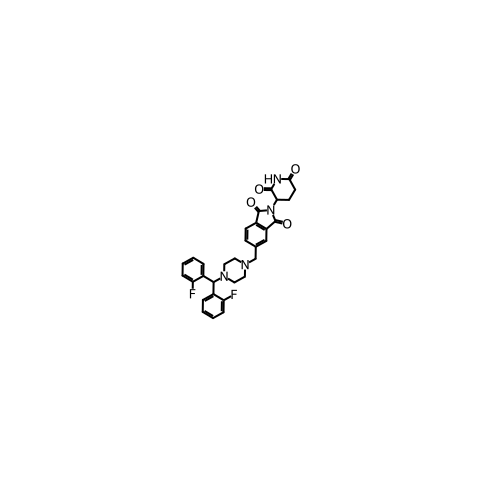 O=C1CCC(N2C(=O)c3ccc(CN4CCN(C(c5ccccc5F)c5ccccc5F)CC4)cc3C2=O)C(=O)N1